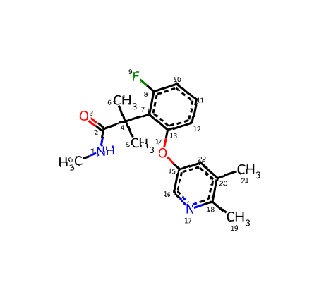 CNC(=O)C(C)(C)c1c(F)cccc1Oc1cnc(C)c(C)c1